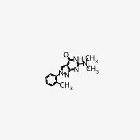 Cc1ccccc1-n1cc2c(=O)[nH]c(N(C)C)nc2n1